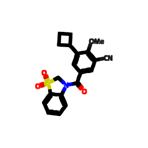 COc1c(C#N)cc(C(=O)N2CS(=O)(=O)c3ccccc32)cc1C1CCC1